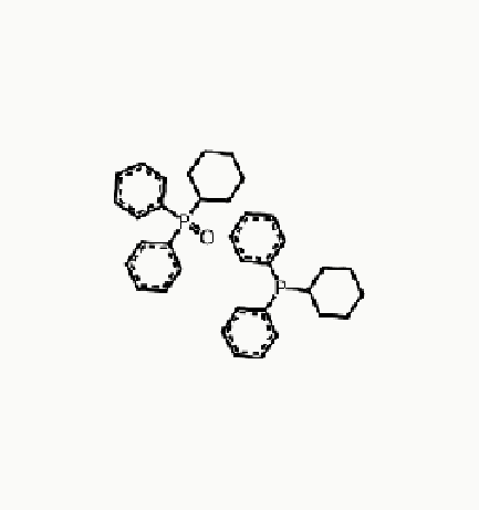 O=P(c1ccccc1)(c1ccccc1)C1CCCCC1.c1ccc(P(c2ccccc2)C2CCCCC2)cc1